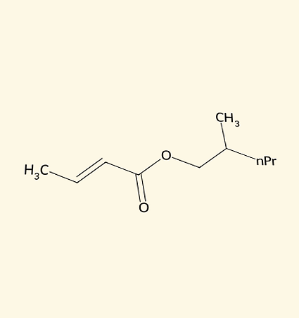 CC=CC(=O)OCC(C)CCC